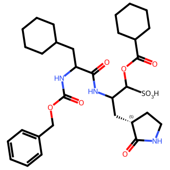 O=C(NC(CC1CCCCC1)C(=O)NC(C[C@@H]1CCNC1=O)C(OC(=O)C1CCCCC1)S(=O)(=O)O)OCc1ccccc1